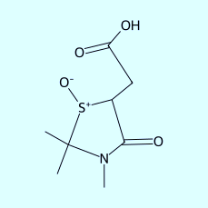 CN1C(=O)C(CC(=O)O)[S+]([O-])C1(C)C